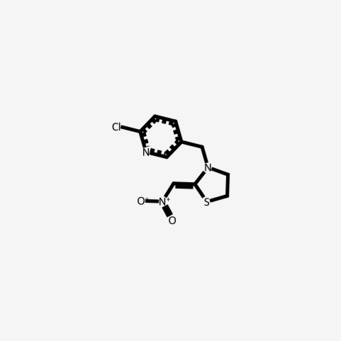 O=[N+]([O-])C=C1SCCN1Cc1ccc(Cl)nc1